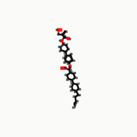 C=C(CO)C(=O)OC1CCC(c2ccc(OC(O)C3CCC(C4CCC(CCCCC)CC4)CC3)cc2)CC1